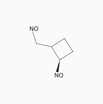 O=NCC1CC[C@H]1N=O